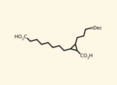 CCCCCCCCCCCCCC1C(CCCCCCCC(=O)O)C1C(=O)O